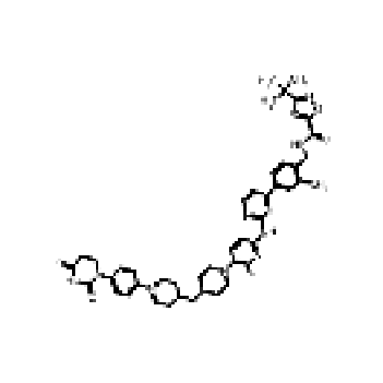 Cc1cc(-c2ccnc(Nc3ccc(N4CCN(CC5CCN(c6ccc(N7CCC(=O)NC7=O)cc6)CC5)CC4)c(F)n3)n2)ccc1CNC(=O)c1nc(C(C)(C)C)no1